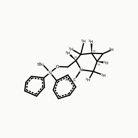 [2H]C1[C@@]2([2H])C([2H])([2H])[C@@]([2H])(CO[Si](c3ccccc3)(c3ccccc3)C(C)(C)C)N(C(=O)O)C([2H])([2H])[C@@]12[2H]